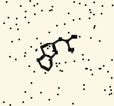 OB(O)Oc1ccc2ncccc2n1